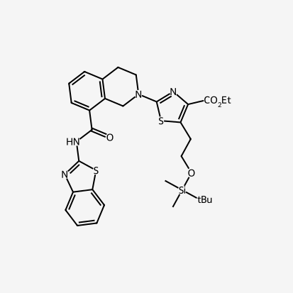 CCOC(=O)c1nc(N2CCc3cccc(C(=O)Nc4nc5ccccc5s4)c3C2)sc1CCO[Si](C)(C)C(C)(C)C